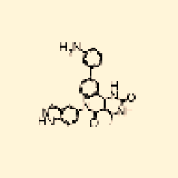 CC1=C(C(=O)Nc2ccc3[nH]ncc3c2)C(c2cccc(-c3cccc(N)c3)c2)NC(=O)N1